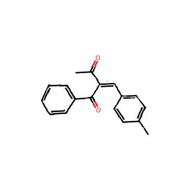 CC(=O)/C(=C/c1ccc(C)cc1)C(=O)c1ccccc1